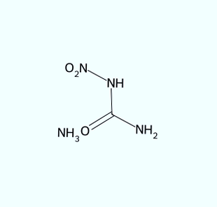 N.NC(=O)N[N+](=O)[O-]